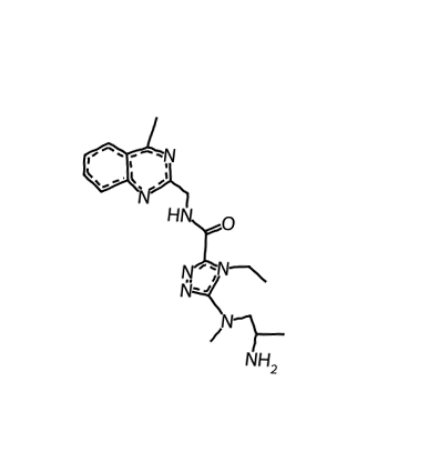 CCn1c(C(=O)NCc2nc(C)c3ccccc3n2)nnc1N(C)CC(C)N